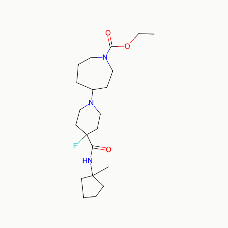 CCOC(=O)N1CCCC(N2CCC(F)(C(=O)NC3(C)CCCC3)CC2)CC1